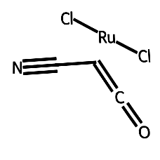 N#CC=C=O.[Cl][Ru][Cl]